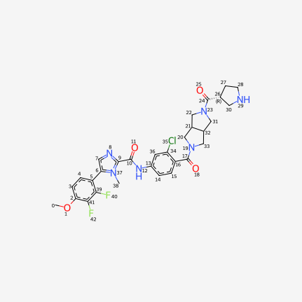 COc1ccc(-c2cnc(C(=O)Nc3ccc(C(=O)N4CC5CN(C(=O)[C@@H]6CCNC6)CC5C4)c(Cl)c3)n2C)c(F)c1F